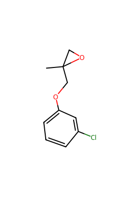 CC1(COc2cccc(Cl)c2)CO1